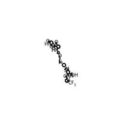 CN(CCCO[C@H]1C[C@H](Nc2cccc3c2C(=O)N(C2CCC(=O)NC2=O)C3=O)C1)C[C@H]1CC[C@H](c2nc3cc(C(C)(C)O)c(NC(=O)c4cccc(C(F)(F)F)n4)cc3s2)CC1